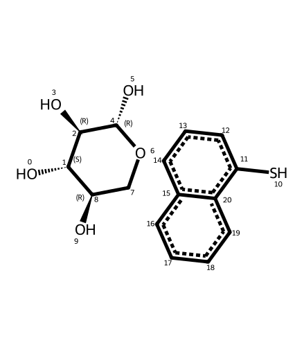 O[C@@H]1[C@@H](O)[C@H](O)OC[C@H]1O.Sc1cccc2ccccc12